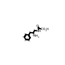 N[C@H](CNC(=O)C(=O)O)Cc1ccccc1